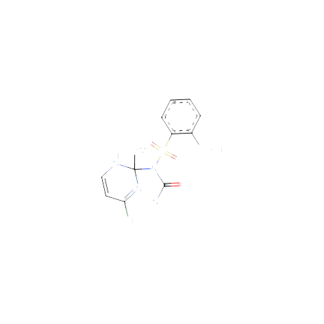 COC1(N(C(N)=O)S(=O)(=O)c2ccccc2C(=O)O)N=C(Cl)C=CN1